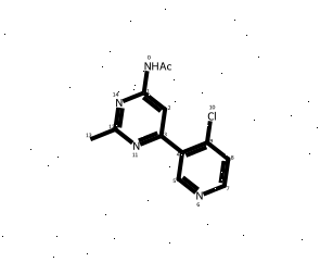 CC(=O)Nc1cc(-c2cnccc2Cl)nc(C)n1